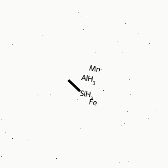 C[SiH3].[AlH3].[Fe].[Mn]